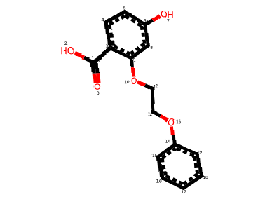 O=C(O)c1ccc(O)cc1OCCOc1ccccc1